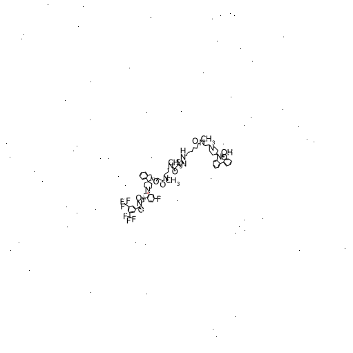 CN(CCN1CCC(N(C(=O)O)c2ccccc2-c2ccccc2)CC1)C(=O)CCCCCNc1ncc(C(=O)N(C)CCCN(C)C(=O)CO[C@H]2Cc3ccccc3C23CCN(CC[C@]2(c4ccc(F)cc4)CN(C(=O)c4cc(C(F)(F)F)cc(C(F)(F)F)c4)CO2)CC3)s1